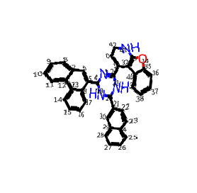 C1=C(C2=NC(c3cc4ccccc4c4ccccc34)NC(c3ccc4ccccc4c3)N2)c2c(oc3ccccc23)NC1